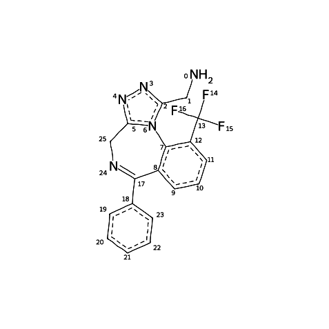 NCc1nnc2n1-c1c(cccc1C(F)(F)F)C(c1ccccc1)=NC2